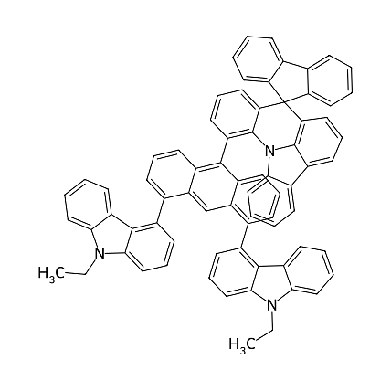 CCn1c2ccccc2c2c(-c3cccc4c(-c5cccc6c5-n5c7ccccc7c7cccc(c75)C65c6ccccc6-c6ccccc65)c5cccc(-c6cccc7c6c6ccccc6n7CC)c5cc34)cccc21